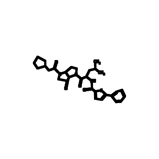 CC(C)CC(NC(=O)c1ccc(-c2ccccc2)s1)C(=O)N1CCC2C1C(=O)CN2C(=O)CC1CCCC1